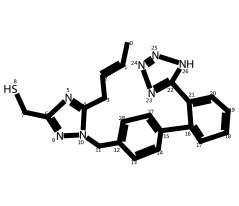 CC=CCc1nc(CS)nn1Cc1ccc(-c2ccccc2-c2nnn[nH]2)cc1